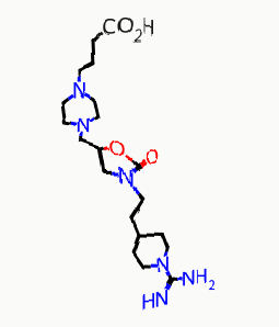 N=C(N)N1CCC(CCN2CC(CN3CCN(CCCC(=O)O)CC3)OC2=O)CC1